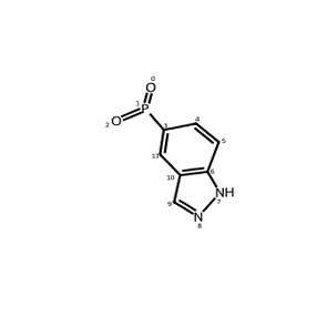 O=P(=O)c1ccc2[nH]ncc2c1